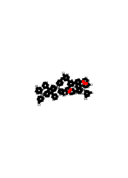 Cc1ccc(-c2cc(-c3ccc(C)c(Cc4ccc(N(c5ccc(C)cc5)c5ccc6c(C7CCCCC7)c7cc(N(c8ccc(C)cc8)c8ccc(C)cc8)ccc7c(C7CCCCC7)c6c5)cc4)c3)cc(-c3ccc(C4CCCCC4)c4cc5c(N(c6cc(C)cc(C)c6)c6cc(C)cc(C)c6)ccc(C6CCCCC6)c5cc34)c2)cc1